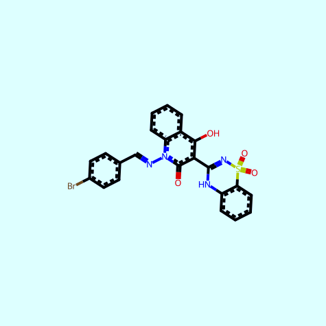 O=c1c(C2=NS(=O)(=O)c3ccccc3N2)c(O)c2ccccc2n1/N=C/c1ccc(Br)cc1